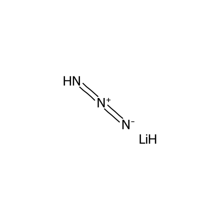 [LiH].[N-]=[N+]=N